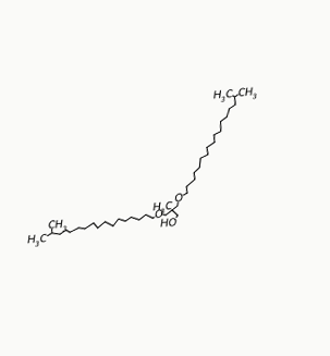 CC(C)CCCCCCCCCCCCCCCOCC(C)(CO)COCCCCCCCCCCCCCCCC(C)C